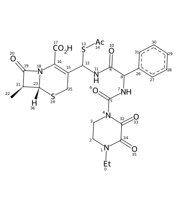 CCN1CCN(C(=O)NC(C(=O)NC(SC(C)=O)C2=C(C(=O)O)N3C(=O)[C@H](C)[C@H]3SC2)c2ccccc2)C(=O)C1=O